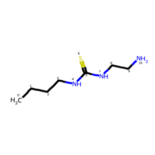 CCCCNC(=S)NCCN